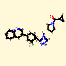 O=C(C1CC1)N1CC[C@H](Cn2cnnc2-c2ccc(-c3cnc4ccccc4c3)cc2F)C1